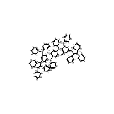 c1ccc(-c2c(-c3ccccc3)n(-c3cc4c5c(c3)N(c3ccccc3)c3ccccc3B5c3cc5c(cc3S4)N(c3ccccc3)c3cc(-n4c(-c6ccccc6)c(-c6ccccc6)c6ccccc64)cc4c3B5c3ccccc3N4c3ccccc3)c3ccccc23)cc1